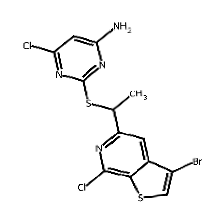 CC(Sc1nc(N)cc(Cl)n1)c1cc2c(Br)csc2c(Cl)n1